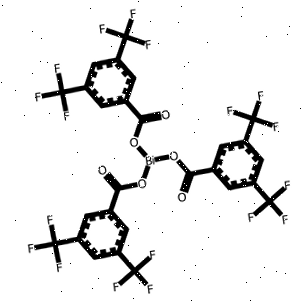 O=C([O][Bi]([O]C(=O)c1cc(C(F)(F)F)cc(C(F)(F)F)c1)[O]C(=O)c1cc(C(F)(F)F)cc(C(F)(F)F)c1)c1cc(C(F)(F)F)cc(C(F)(F)F)c1